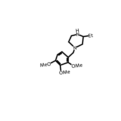 [CH2]CC1CN(Cc2ccc(OC)c(OC)c2OC)CCN1